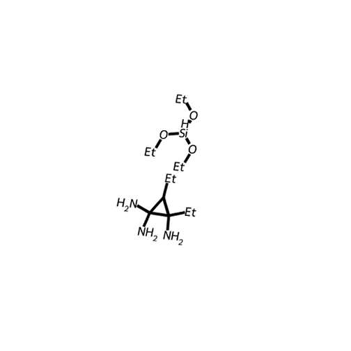 CCC1C(N)(N)C1(N)CC.CCO[SiH](OCC)OCC